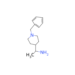 CC(N)C1CCN(Cc2ccccc2)CC1